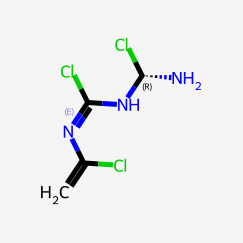 C=C(Cl)/N=C(/Cl)N[C@@H](N)Cl